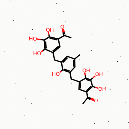 CC(=O)c1cc(Cc2cc(C)cc(Cc3cc(C(C)=O)c(O)c(O)c3O)c2O)c(O)c(O)c1O